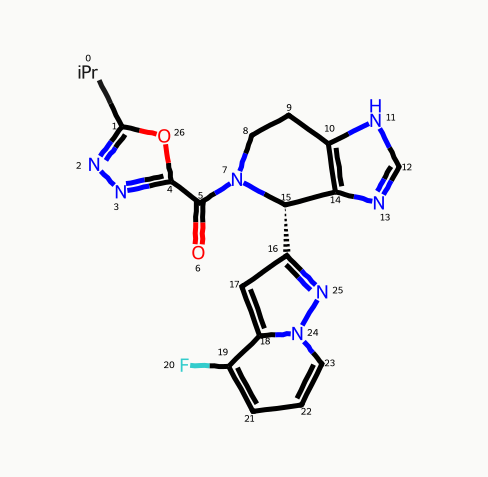 CC(C)c1nnc(C(=O)N2CCc3[nH]cnc3[C@@H]2c2cc3c(F)cccn3n2)o1